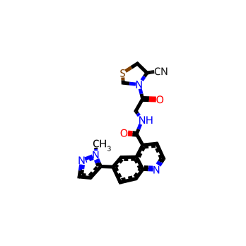 Cn1nccc1-c1ccc2nccc(C(=O)NCC(=O)N3CSCC3C#N)c2c1